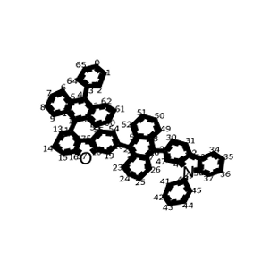 c1ccc(-c2c3ccccc3c(-c3cccc4oc5cc(-c6c7ccccc7c(-c7ccc8c9ccccc9n(-c9ccccc9)c8c7)c7ccccc67)ccc5c34)c3ccccc23)cc1